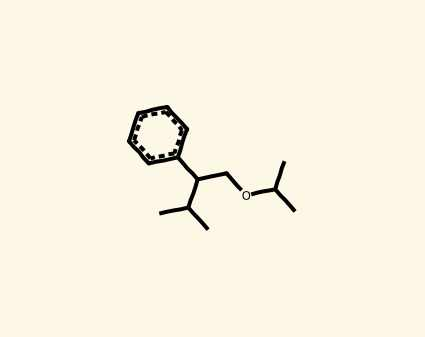 CC(C)OCC(c1ccccc1)C(C)C